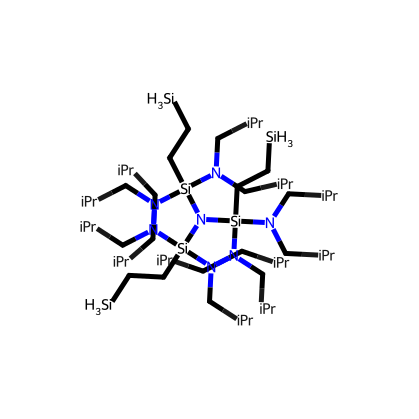 CC(C)CN(CC(C)C)[Si](CC[SiH3])(N(CC(C)C)CC(C)C)N([Si](CC[SiH3])(N(CC(C)C)CC(C)C)N(CC(C)C)CC(C)C)[Si](CC[SiH3])(N(CC(C)C)CC(C)C)N(CC(C)C)CC(C)C